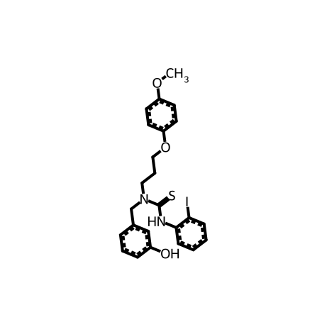 COc1ccc(OCCCN(Cc2cccc(O)c2)C(=S)Nc2ccccc2I)cc1